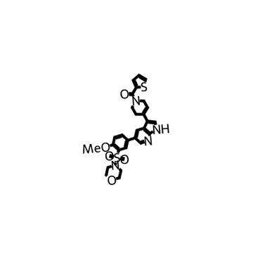 COc1ccc(-c2cnc3[nH]cc(C4=CCN(C(=O)c5cccs5)CC4)c3c2)cc1S(=O)(=O)N1CCOCC1